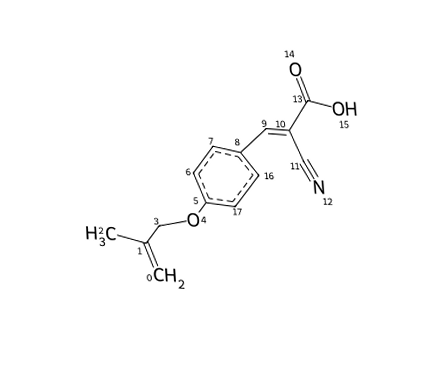 C=C(C)COc1ccc(/C=C(\C#N)C(=O)O)cc1